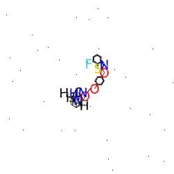 CC(=O)N1[C@@H]2CC[C@H]1C[C@H](NCCOc1ccc(Oc3nc4cccc(F)c4s3)cc1)C2